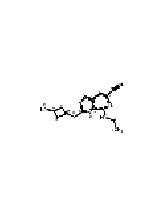 CCNc1nc(C#N)cc2cnc(NC3CC(N)C3)nc12